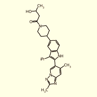 Cc1nc2cc(C)c(-c3[nH]c4ccc(C5CCN(C(=O)CC(C)O)CC5)cc4c3C(C)C)cn2n1